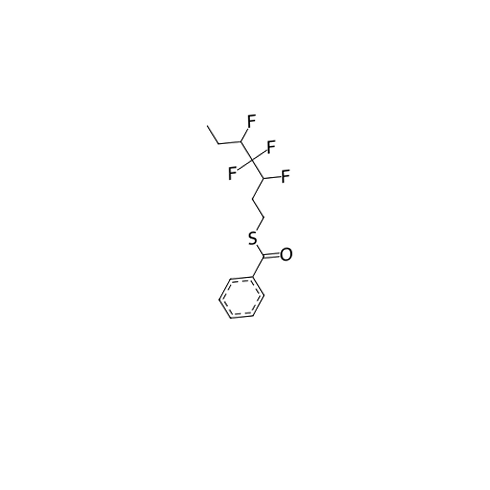 CCC(F)C(F)(F)C(F)CCSC(=O)c1ccccc1